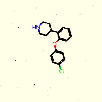 Clc1ccc(Oc2ccccc2C2CCNCC2)cc1